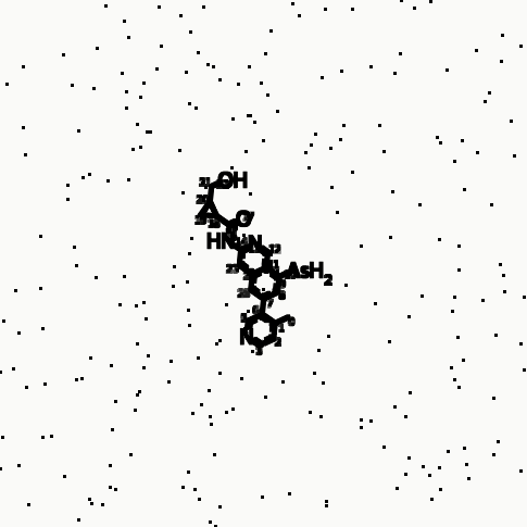 Cc1ccncc1-c1cc([AsH2])c2cnc(NC(=O)C3CC3CO)cc2c1